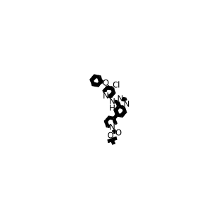 CC(C)(C)OC(=O)N1CCCC(c2ccc3ncnc(Nc4cc(Cl)c(Oc5ccccc5)cn4)c3c2)C1